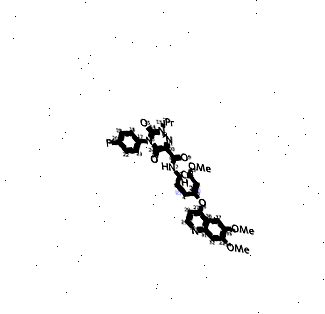 C=C(/C=C(\C=C/CNC(=O)c1nn(C(C)C)c(=O)n(-c2ccc(F)cc2)c1=O)Oc1ccnc2cc(OC)c(OC)cc12)OC